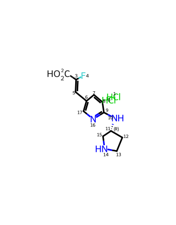 Cl.Cl.O=C(O)C(F)=Cc1ccc(N[C@@H]2CCNC2)nc1